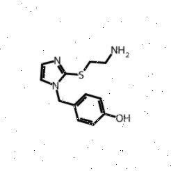 NCCSc1nccn1Cc1ccc(O)cc1